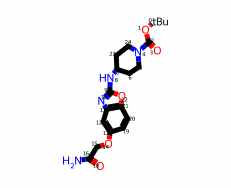 CC(C)(C)OC(=O)N1CCC(Nc2nc3cc(OCC(N)=O)ccc3o2)CC1